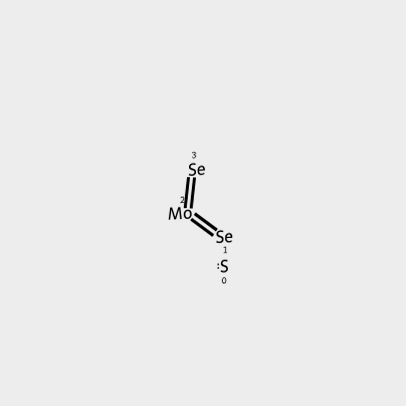 [S].[Se]=[Mo]=[Se]